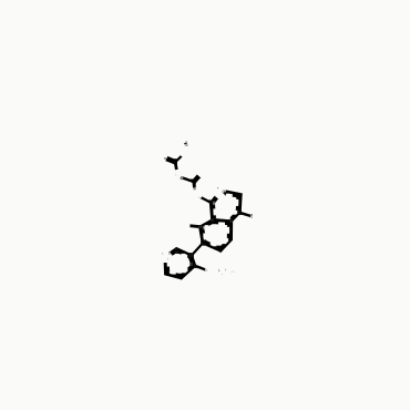 COc1ccncc1-c1ccc2c(I)cnc(OC(=O)NC(=O)OC(C)(C)C)c2c1F